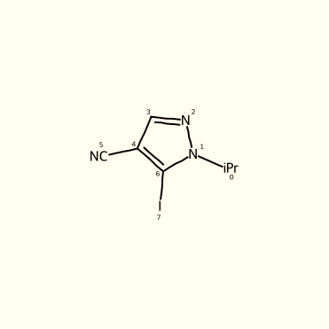 CC(C)n1ncc(C#N)c1I